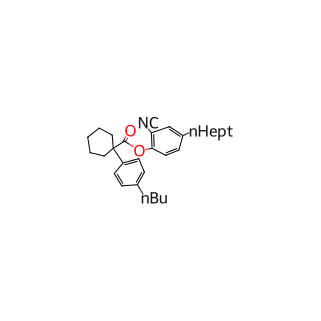 CCCCCCCc1ccc(OC(=O)C2(c3ccc(CCCC)cc3)CCCCC2)c(C#N)c1